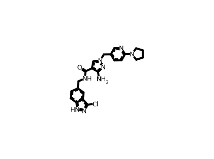 Nc1nn(Cc2ccc(N3CCCC3)nc2)cc1C(=O)NCc1ccc2[nH]nc(Cl)c2c1